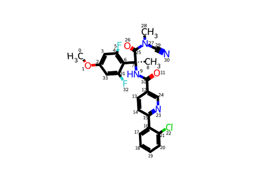 COc1cc(F)c([C@](C)(NC(=O)c2ccc(-c3ccccc3Cl)nc2)C(=O)N(C)C#N)c(F)c1